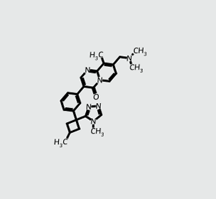 Cc1c(CN(C)C)ccn2c(=O)c(-c3cccc(C4(c5nncn5C)CC(C)C4)c3)cnc12